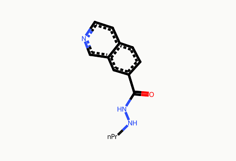 CCCNNC(=O)c1ccc2ccncc2c1